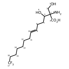 NC(CO)(C(=O)O)C(O)CC/C=C/CCCCCCC(F)(F)F